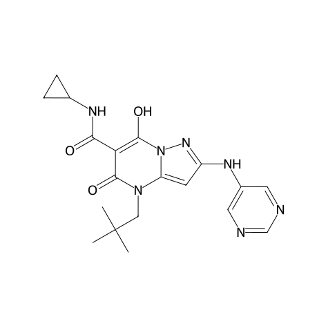 CC(C)(C)Cn1c(=O)c(C(=O)NC2CC2)c(O)n2nc(Nc3cncnc3)cc12